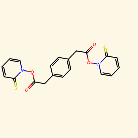 O=C(Cc1ccc(CC(=O)On2ccccc2=S)cc1)On1ccccc1=S